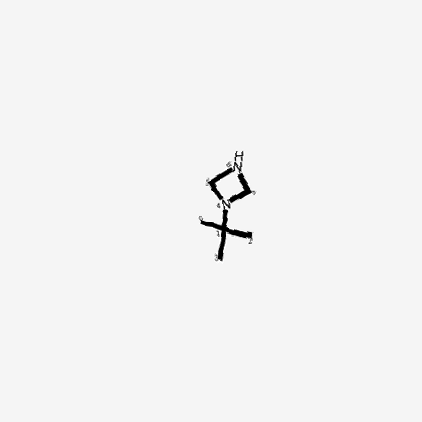 CC(C)(C)N1CNC1